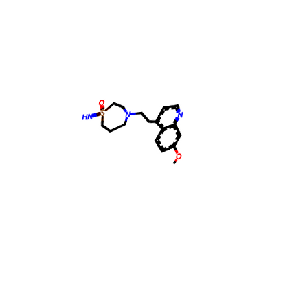 COc1ccc2c(CCN3CCCS(=N)(=O)CC3)ccnc2c1